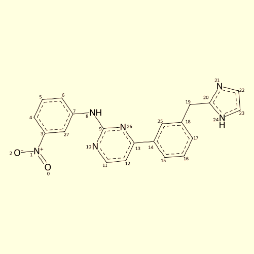 O=[N+]([O-])c1cccc(Nc2nccc(-c3cccc(Cc4ncc[nH]4)c3)n2)c1